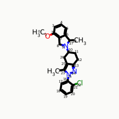 COc1cccc2c1CN(C1CCc3nn(-c4ccccc4Cl)c(C)c3C1)C2C